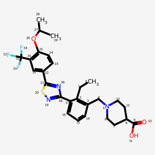 CCc1c(CN2CCC(C(=O)O)CC2)cccc1-c1nsc(-c2ccc(OC(C)C)c(C(F)(F)F)c2)n1